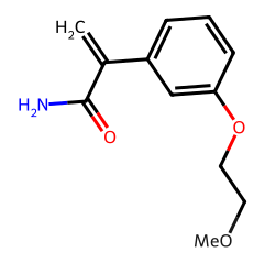 C=C(C(N)=O)c1cccc(OCCOC)c1